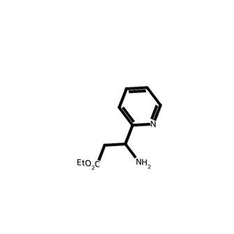 CCOC(=O)CC(N)c1ccccn1